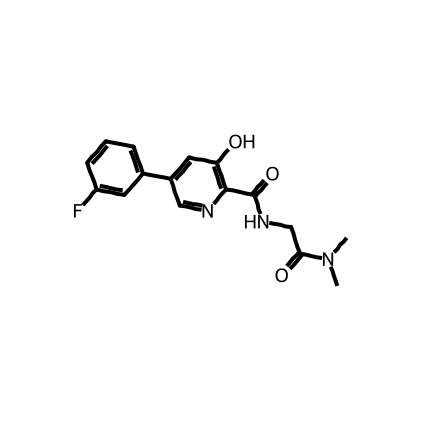 CN(C)C(=O)CNC(=O)c1ncc(-c2cccc(F)c2)cc1O